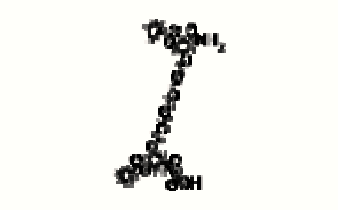 NC(=O)c1cc(OCCOCCOCCOCCOCCOc2cc(OC(=O)c3ccccc3)cc(C(=O)NCC(=O)O)c2)cc(OC(=O)c2ccccc2)c1